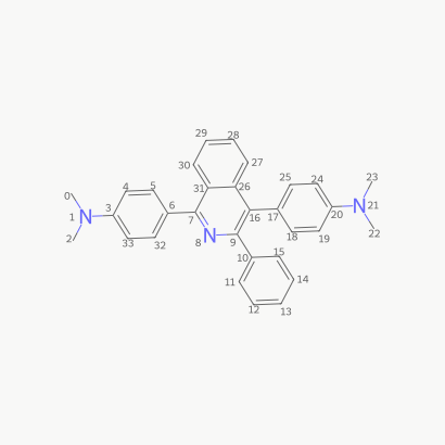 CN(C)c1ccc(-c2nc(-c3ccccc3)c(-c3ccc(N(C)C)cc3)c3ccccc23)cc1